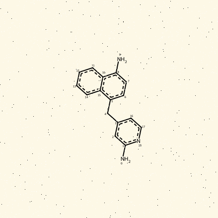 Nc1cc(Cc2ccc(N)c3ccccc23)ccn1